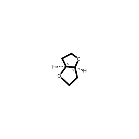 C1C[C@@H]2OCC[C@@H]2O1